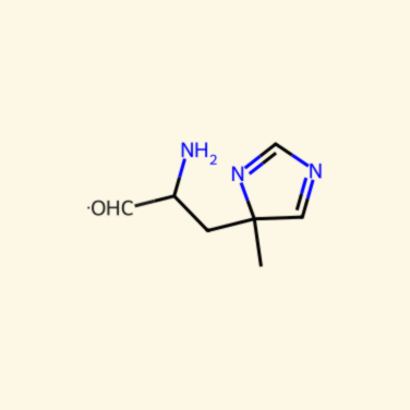 CC1(CC(N)[C]=O)C=NC=N1